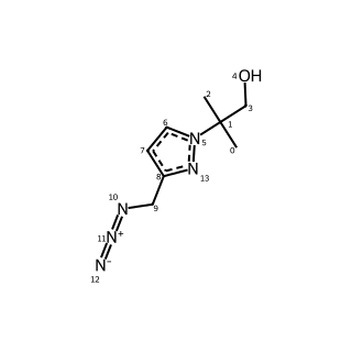 CC(C)(CO)n1ccc(CN=[N+]=[N-])n1